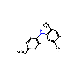 CC(=O)OCc1ccc(Nc2cc(C#N)ccc2[N+](=O)[O-])cc1